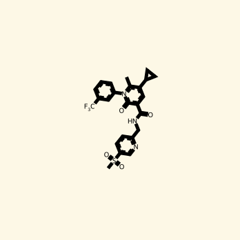 Cc1c(C2CC2)cc(C(=O)NCc2ccc(S(C)(=O)=O)cn2)c(=O)n1-c1cccc(C(F)(F)F)c1